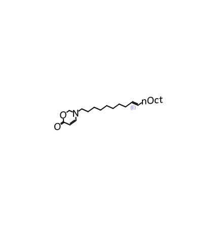 CCCCCCCC/C=C/CCCCCCCCN1C=CC(=O)OC1